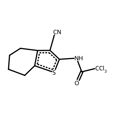 N#Cc1c(NC(=O)C(Cl)(Cl)Cl)sc2c1CCCC2